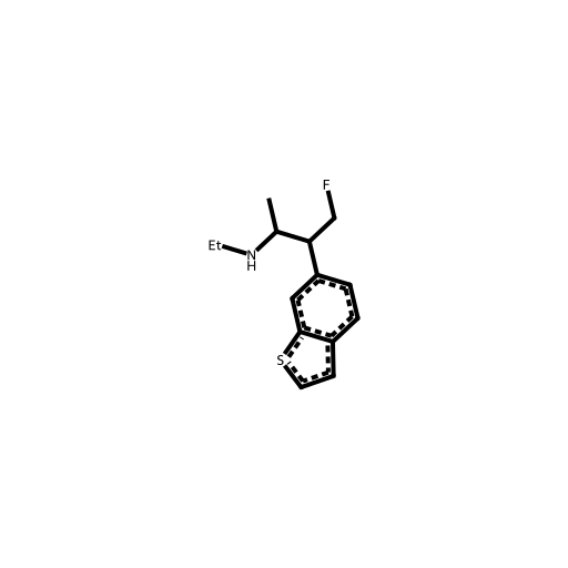 CCNC(C)C(CF)c1ccc2ccsc2c1